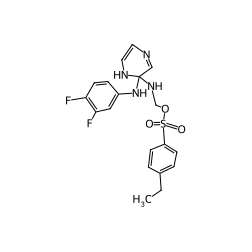 CCc1ccc(S(=O)(=O)OCNC2(Nc3ccc(F)c(F)c3)C=NC=CN2)cc1